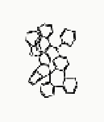 c1ccc(N(c2ccc3c(c2)C2(c4ccccc4-c4ccccc4-3)c3ccccc3-c3c2ccc2c3oc3ccccc32)c2cccc3ccccc23)cc1